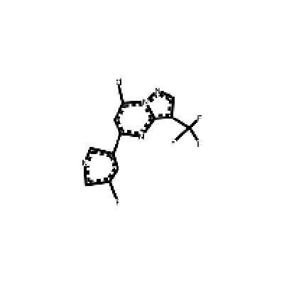 Fc1cncc(-c2cc(Cl)n3ncc(C(F)(F)F)c3n2)c1